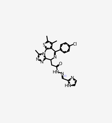 Cc1sc2c(c1C)C(c1ccc(Cl)cc1)=NC(CC(=O)N/N=C/c1ncc[nH]1)c1nnc(C)n1-2